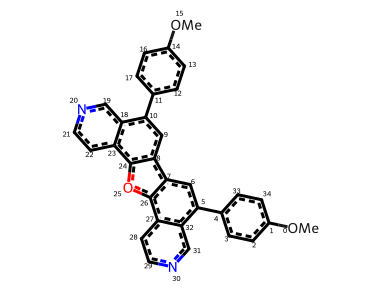 COc1ccc(-c2cc3c4cc(-c5ccc(OC)cc5)c5cnccc5c4oc3c3ccncc23)cc1